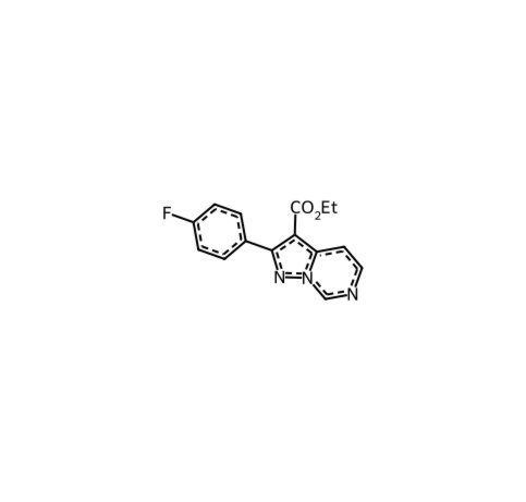 CCOC(=O)c1c(-c2ccc(F)cc2)nn2cnccc12